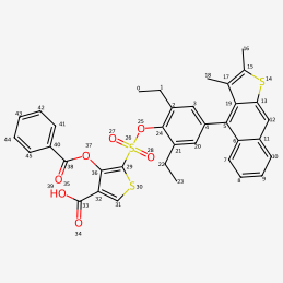 CCc1cc(-c2c3ccccc3cc3sc(C)c(C)c23)cc(CC)c1OS(=O)(=O)c1scc(C(=O)O)c1OC(=O)c1ccccc1